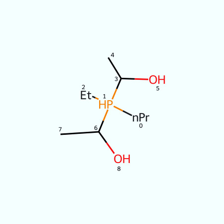 CCC[PH](CC)(C(C)O)C(C)O